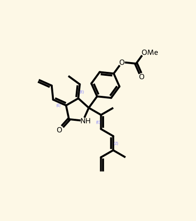 C=C/C=C1/C(=O)NC(/C(C)=C/C=C(/C)C=C)(c2ccc(OC(=O)OC)cc2)/C1=C/C